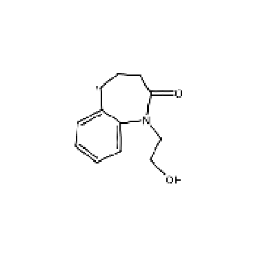 O=C1CC[C]c2ccccc2N1CCO